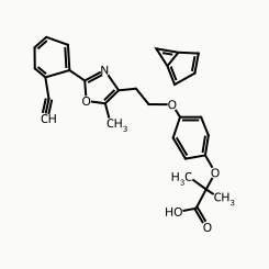 C#Cc1ccccc1-c1nc(CCOc2ccc(OC(C)(C)C(=O)O)cc2)c(C)o1.c1cc2cc-2c1